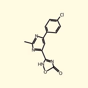 Cc1nc(-c2ccc(Cl)cc2)cc(-c2nc(=O)o[nH]2)n1